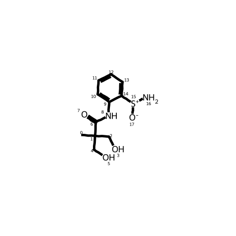 CC(CO)(CO)C(=O)Nc1ccccc1[S+](N)[O-]